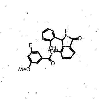 COc1cc(F)cc(C(=O)Nc2cccc3c2C(c2ccccc2C)NC3=O)c1